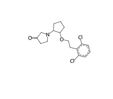 O=C1CCN(C2CCCC2OCCc2c(Cl)cccc2Cl)C1